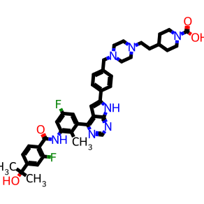 Cc1c(NC(=O)c2ccc(C(C)(C)O)cc2F)cc(F)cc1-c1ncnc2[nH]c(-c3ccc(CN4CCN(CCC5CCN(C(=O)O)CC5)CC4)cc3)cc12